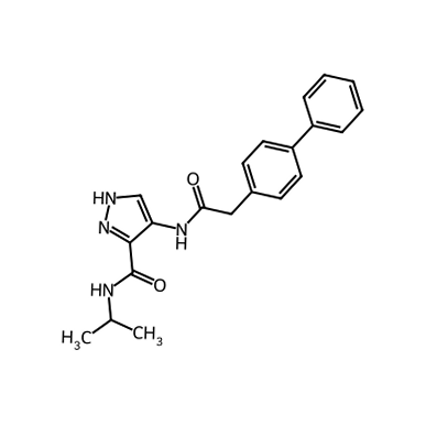 CC(C)NC(=O)c1n[nH]cc1NC(=O)Cc1ccc(-c2ccccc2)cc1